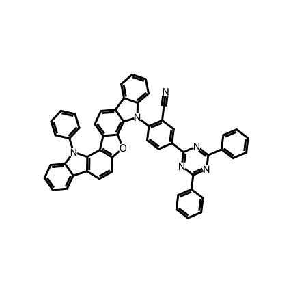 N#Cc1cc(-c2nc(-c3ccccc3)nc(-c3ccccc3)n2)ccc1-n1c2ccccc2c2ccc3c(oc4ccc5c6ccccc6n(-c6ccccc6)c5c43)c21